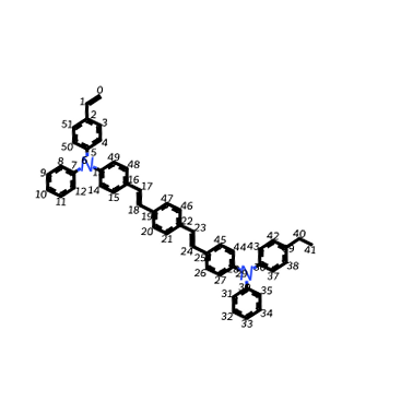 C=Cc1ccc(N(c2ccccc2)c2ccc(C=Cc3ccc(C=Cc4ccc(N(c5ccccc5)c5ccc(CC)cc5)cc4)cc3)cc2)cc1